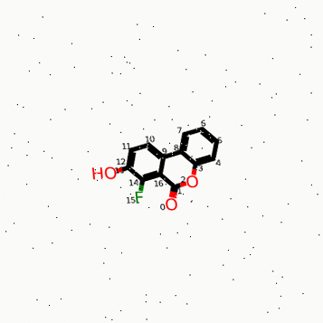 O=c1oc2ccccc2c2ccc(O)c(F)c12